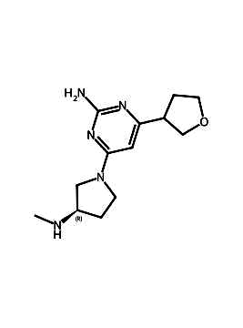 CN[C@@H]1CCN(c2cc(C3CCOC3)nc(N)n2)C1